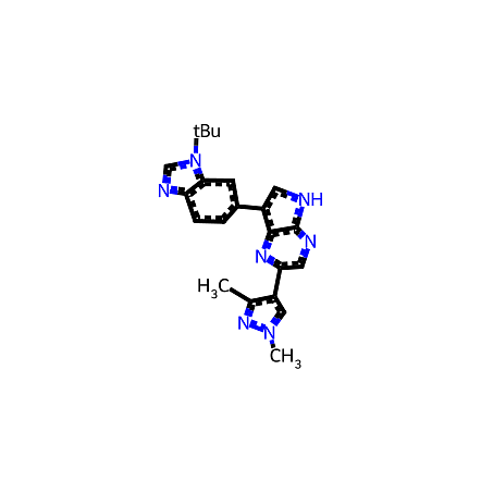 Cc1nn(C)cc1-c1cnc2[nH]cc(-c3ccc4ncn(C(C)(C)C)c4c3)c2n1